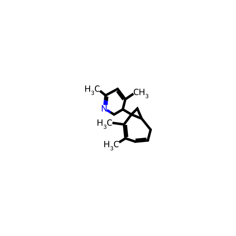 CC1=CC(C)=NCC1C12CC1CC=CC(C)=C2C